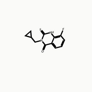 O=c1c2cccc(F)c2[nH]c(=S)n1CC1CC1